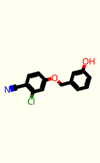 N#Cc1ccc(OCc2cccc(O)c2)cc1Cl